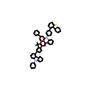 CC1(C)c2ccc(-c3ccccc3N(c3ccc(-c4cccc5sc6ccccc6c45)cc3)c3cccc(-c4ccccc4)c3)cc2-c2ccc(-c3cccc4c3c3ccccc3n4-c3ccccc3)cc21